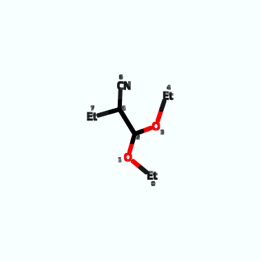 CCOC(OCC)C(C#N)CC